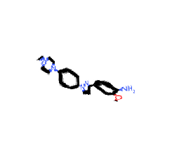 COc1cc(-c2ccn([C@H]3CC[C@H](N4CCN(C)CC4)CC3)n2)ccc1N